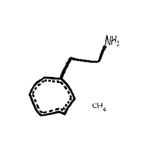 C.NCCc1ccccc1